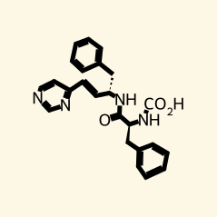 O=C(O)N[C@@H](Cc1ccccc1)C(=O)N[C@H](/C=C/c1ccncn1)Cc1ccccc1